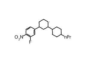 CCCC1CCC(C2[CH]CCC(c3ccc([N+](=O)[O-])c(F)c3)C2)CC1